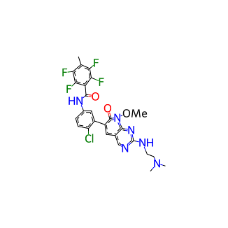 COn1c(=O)c(-c2cc(NC(=O)c3c(F)c(F)c(C)c(F)c3F)ccc2Cl)cc2cnc(NCCN(C)C)nc21